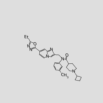 CCc1nnc(-c2ccn3cc(CN(C(=O)C4CCN(C5CCC5)CC4)c4cccc(C)c4)nc3c2)o1